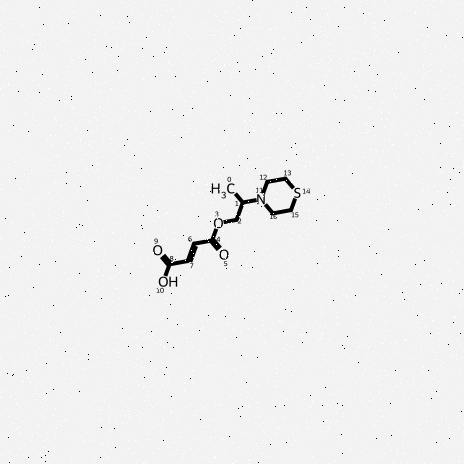 CC(COC(=O)C=CC(=O)O)N1CCSCC1